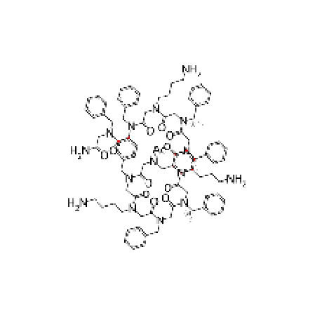 CC(=O)N(CC(=O)N(CC(=O)N(CCCCN)CC(=O)N(CC(=O)N(CC(=O)N(CCCCN)CC(=O)N(CC(=O)N(CC(=O)N(CCCCN)CC(=O)N(CC(=O)N(CC(N)=O)Cc1ccccc1)Cc1ccccc1)[C@@H](C)c1ccccc1)[C@@H](C)c1ccccc1)[C@@H](C)c1ccccc1)Cc1ccccc1)Cc1ccccc1)Cc1ccccc1